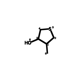 CC1CSCC1O